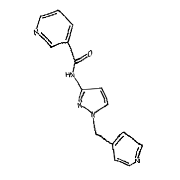 O=C(Nc1ccn(Cc2ccncc2)n1)c1cccnc1